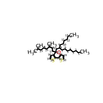 CCCCCCCCC(CCCCCC)CC1(CCC(C)CCCC(C)C)Oc2ccsc2-c2sccc21